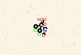 CCC(CN(C)C1COC1)N1C(=O)C(C)(CC(=O)O)CC(c2cccc(Cl)c2)C1c1ccc(Cl)cc1